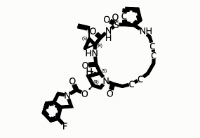 C=C[C@@H]1C[C@@]12NC(=O)[C@@H]1C[C@@H](OC(=O)N3Cc4cccc(F)c4C3)CN1C(=O)CCCCCCCCNc1ccccc1S(=O)(=O)NC2=O